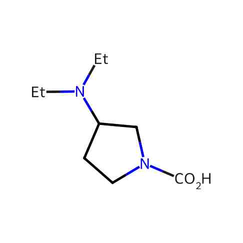 CCN(CC)C1CCN(C(=O)O)C1